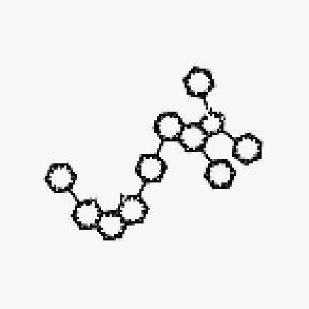 c1ccc(-c2ccc3ccc4ccc(-c5ccc(-c6cccc7c6cc(-c6ccccc6)c6c(-c8ccccc8)nn(-c8ccccc8)c67)cc5)nc4c3n2)cc1